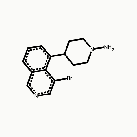 NN1CCC(c2cccc3cncc(Br)c23)CC1